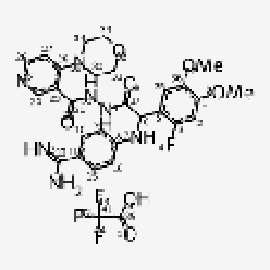 COc1cc(F)c(C(Nc2ccc(C(=N)N)cc2)C(=O)NNC(=O)c2cnccc2N2CCOCC2)cc1OC.O=C(O)C(F)(F)F